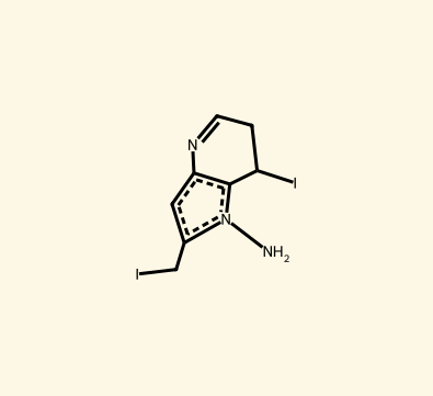 Nn1c(CI)cc2c1C(I)CC=N2